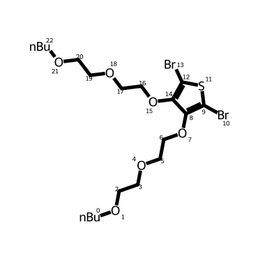 CCCCOCCOCCOc1c(Br)sc(Br)c1OCCOCCOCCCC